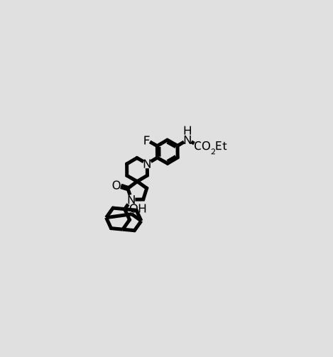 CCOC(=O)Nc1ccc(N2CCCC3(CCN(C45CC6CC(C4)C(O)C(C6)C5)C3=O)C2)c(F)c1